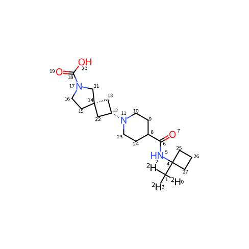 [2H]C([2H])([2H])C1(NC(=O)C2CCN([C@H]3C[C@@]4(CCN(C(=O)O)C4)C3)CC2)CCC1